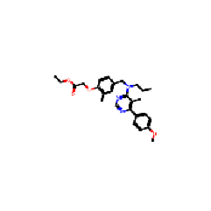 CCCN(Cc1ccc(OCC(=O)OCC)c(C)c1)c1ncnc(-c2ccc(OC)cc2)c1C